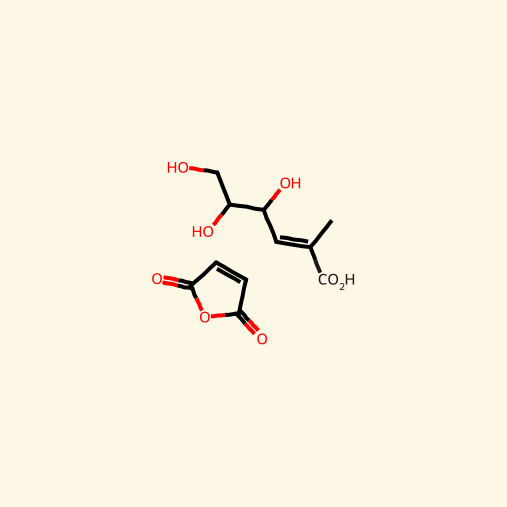 CC(=CC(O)C(O)CO)C(=O)O.O=C1C=CC(=O)O1